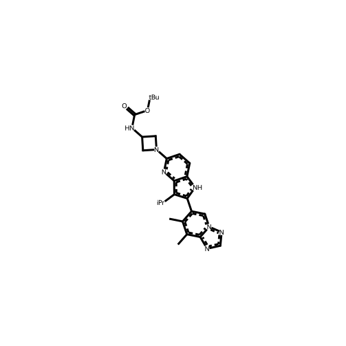 Cc1c(-c2[nH]c3ccc(N4CC(NC(=O)OC(C)(C)C)C4)nc3c2C(C)C)cn2ncnc2c1C